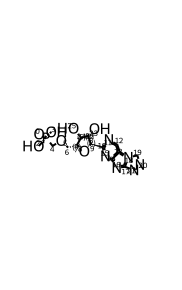 O=P(O)(O)COC[C@H]1O[C@H](c2ncc3c(n2)nc2n3CN=N2)[C@H](O)[C@@H]1O